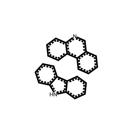 c1ccc2c(c1)[nH]c1ccccc12.c1ccc2c(c1)cnc1ccccc12